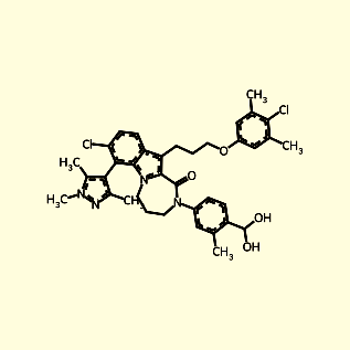 Cc1cc(N2CCCn3c(c(CCCOc4cc(C)c(Cl)c(C)c4)c4ccc(Cl)c(-c5c(C)nn(C)c5C)c43)C2=O)ccc1C(O)O